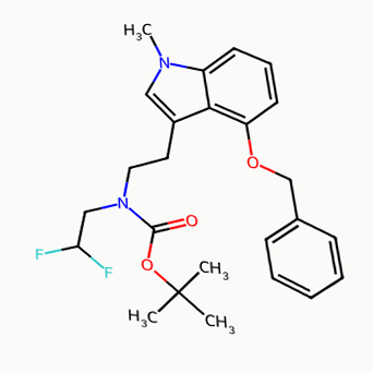 Cn1cc(CCN(CC(F)F)C(=O)OC(C)(C)C)c2c(OCc3ccccc3)cccc21